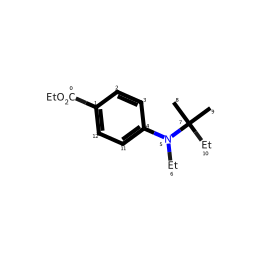 CCOC(=O)c1ccc(N(CC)C(C)(C)CC)cc1